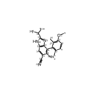 COc1ccc(C)c(-c2c(N)c(C#N)cc3[nH]c(C(F)F)nc23)c1C